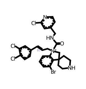 O=C(NCc1ccnc(Cl)c1)[N+]1(C/C=C/c2ccc(Cl)c(Cl)c2)CC2(CCNCC2)c2c(Br)cccc21